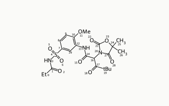 CCC(=O)NS(=O)(=O)c1ccc(OC)c(NC(=O)C(C(=O)C(C)(C)C)N2C(=O)OC(C)(C)C2=O)c1